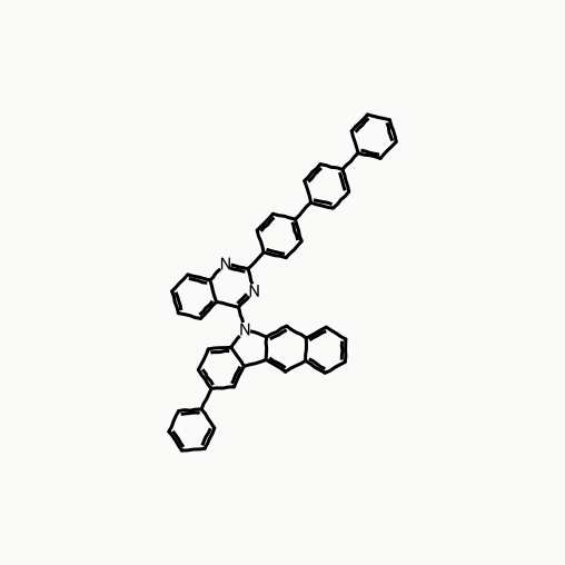 c1ccc(-c2ccc(-c3ccc(-c4nc(-n5c6ccc(-c7ccccc7)cc6c6cc7ccccc7cc65)c5ccccc5n4)cc3)cc2)cc1